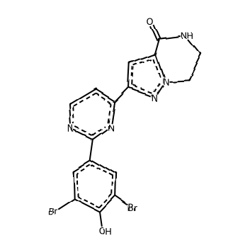 O=C1NCCn2nc(-c3ccnc(-c4cc(Br)c(O)c(Br)c4)n3)cc21